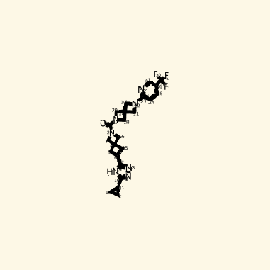 O=C(N1CC2(CC(c3nnc(C4CC4)[nH]3)C2)C1)N1CC2(C1)CN(c1ccc(C(F)(F)F)cn1)C2